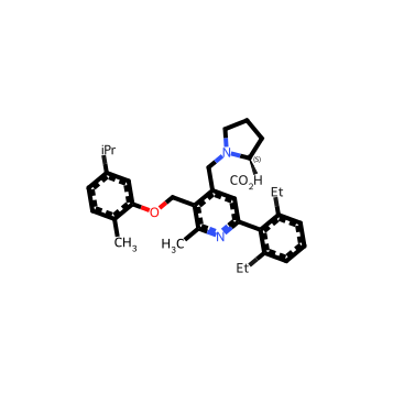 CCc1cccc(CC)c1-c1cc(CN2CCC[C@H]2C(=O)O)c(COc2cc(C(C)C)ccc2C)c(C)n1